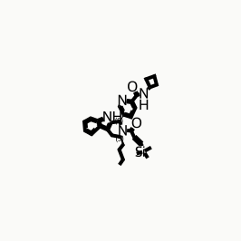 CCCC[C@H]1Cc2c([nH]c3ccccc23)[C@H](c2ccc(C(=O)NC3CCC3)nc2)N1C(=O)C#C[Si](C)(C)C